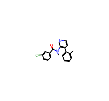 Cc1ccccc1-c1ccncc1N(C)C(=O)c1cccc(Cl)c1